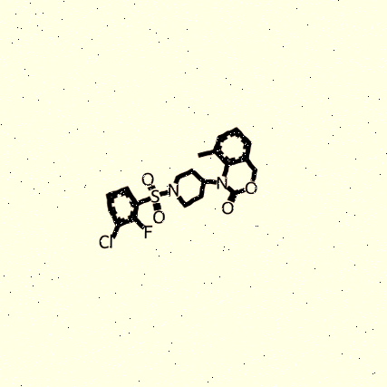 Cc1cccc2c1N(C1CCN(S(=O)(=O)c3cccc(Cl)c3F)CC1)C(=O)OC2